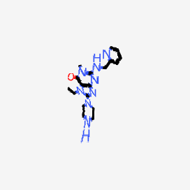 CCn1c(N2CCNCC2)nc2nc(NCc3ccccn3)n(C)c(=O)c21